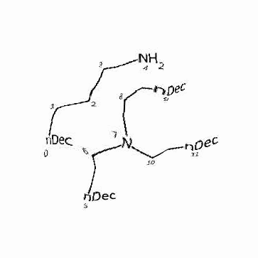 CCCCCCCCCCCCCN.CCCCCCCCCCCN(CCCCCCCCCCC)CCCCCCCCCCC